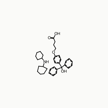 C1CCC(NC2CCCCC2)CC1.O=C(O)CCCOc1ccc(C(O)(c2ccccc2)c2ccccc2)cc1